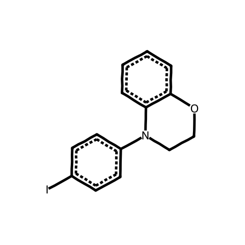 Ic1ccc(N2CCOc3ccccc32)cc1